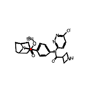 CC(C)(C)OC(=O)N1C2CCC1CC(c1ccc(N(C(=O)C3CNC3)c3ccc(Cl)nn3)cc1)C2